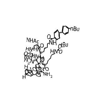 CCCCc1ccc(-c2ccc(C(=O)NCCCC[C@H](NC(=O)[C@H](CCNC(=O)OC(C)(C)C)NC(C)=O)C(=O)N[C@@H](N)C(=O)N[C@@H](CCCCCNC(=O)OC(C)(C)C)C(=O)N[C@@H](N)B3OC4C[C@@H]5C[C@@H](C5(C)C)[C@]4(C)O3)cc2)cc1